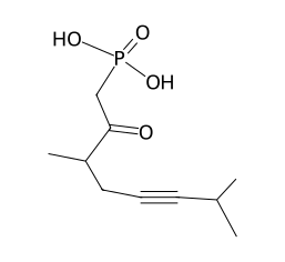 CC(C)C#CCC(C)C(=O)CP(=O)(O)O